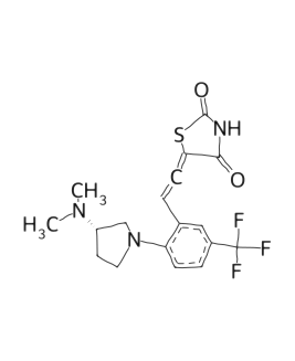 CN(C)[C@H]1CCN(c2ccc(C(F)(F)F)cc2C=C=C2SC(=O)NC2=O)C1